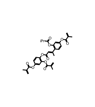 C=C(C)C(=O)Oc1ccc(OC(=O)/C=C(\C)c2ccc(OC(=O)C(=C)C)cc2OC(=O)C(C)C)c(OC(=O)C(=C)C)c1